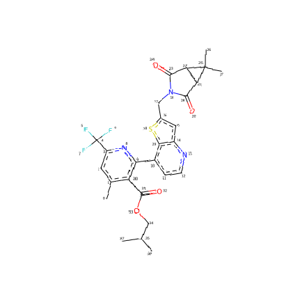 Cc1cc(C(F)(F)F)nc(-c2ccnc3cc(CN4C(=O)C5C(C4=O)C5(C)C)sc23)c1C(=O)OCC(C)C